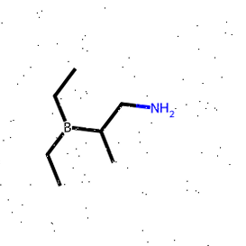 CCB(CC)C(C)CN